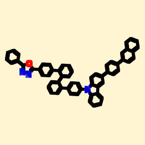 c1ccc(-c2nnc(-c3ccc(-c4ccccc4-c4ccccc4-c4ccc(-n5c6ccccc6c6cc(-c7ccc(-c8ccc9ccccc9c8)cc7)ccc65)cc4)cc3)o2)cc1